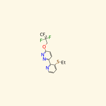 CCSc1cccnc1-c1ccc(OCC(F)(F)C(F)(F)F)nn1